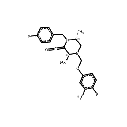 Cc1cc(OCN2C[C@@H](C)N(Cc3ccc(F)cc3)C(=C=O)[C@@H]2C)ccc1F